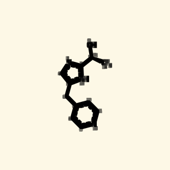 O[C@H](c1ncc(Cc2ccncc2)[nH]1)C(F)(F)F